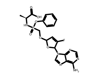 C[C@H](NP(=O)(COC1C=C(F)C(n2cnc3c(N)ncnc32)O1)Oc1ccccc1)C(=O)O